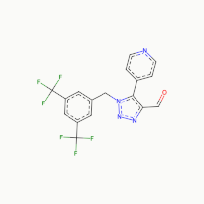 O=Cc1nnn(Cc2cc(C(F)(F)F)cc(C(F)(F)F)c2)c1-c1ccncc1